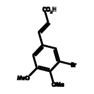 COc1cc(/C=C/C(=O)O)cc(Br)c1OC